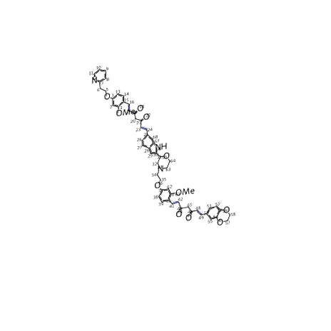 COc1cc(OCCc2ccccn2)ccc1/C=C/C(=O)CC(=O)/C=C/c1ccc2cc(C3CN(CCOc4ccc(/C=C/C(=O)CC(=O)/C=C/c5ccc6c(c5)OCCO6)c(OC)c4)CCO3)[nH]c2c1